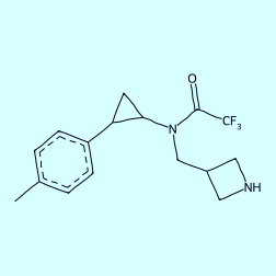 Cc1ccc(C2CC2N(CC2CNC2)C(=O)C(F)(F)F)cc1